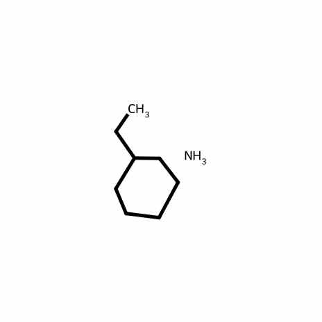 CCC1CCCCC1.N